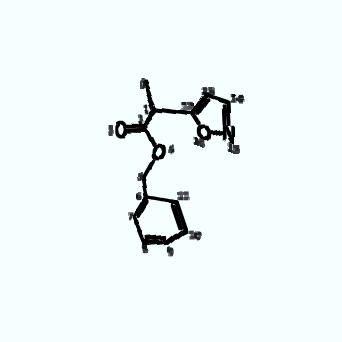 CC(C(=O)OCc1ccccc1)c1ccno1